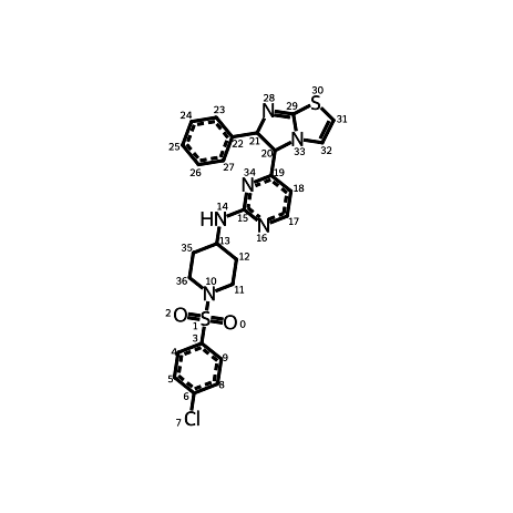 O=S(=O)(c1ccc(Cl)cc1)N1CCC(Nc2nccc(C3C(c4ccccc4)N=C4SC=CN43)n2)CC1